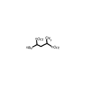 CCCCCCCCC(C)CC(CCCC)CCCCCCCC